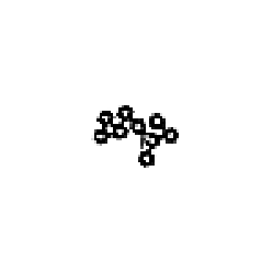 c1ccc(-c2cc(-c3ccccc3-c3ccccc3)cc(-c3ccc(-c4ccccc4-c4cccc5c6ccccc6c6ccccc6c45)cc3)n2)cc1